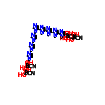 Cn1ccnc1.Cn1ccnc1.Cn1ccnc1.Cn1ccnc1.Cn1ccnc1.Cn1ccnc1.Cn1ccnc1.Cn1ccnc1.N#CB(O)O.N#CB(O)O.N#CB(O)O.N#CB(O)O